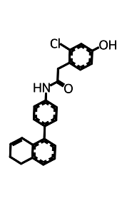 O=C(Cc1ccc(O)cc1Cl)Nc1ccc(-c2cccc3c2C=CCC3)cc1